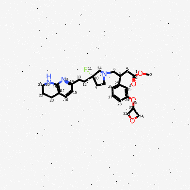 COC(=O)CC(CN1CC[C@@](F)(CCc2ccc3c(n2)NCCC3)C1)c1cccc(OC2COC2)c1